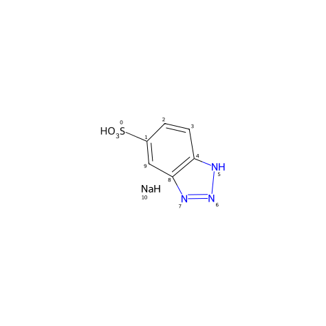 O=S(=O)(O)c1ccc2[nH]nnc2c1.[NaH]